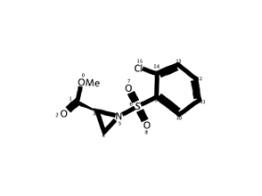 COC(=O)[C@@H]1CN1S(=O)(=O)c1ccccc1Cl